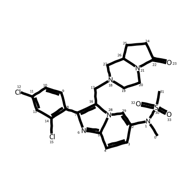 CN(c1ccc2nc(-c3ccc(Cl)cc3Cl)c(CN3CCN4C(=O)CCC4C3)n2c1)S(C)(=O)=O